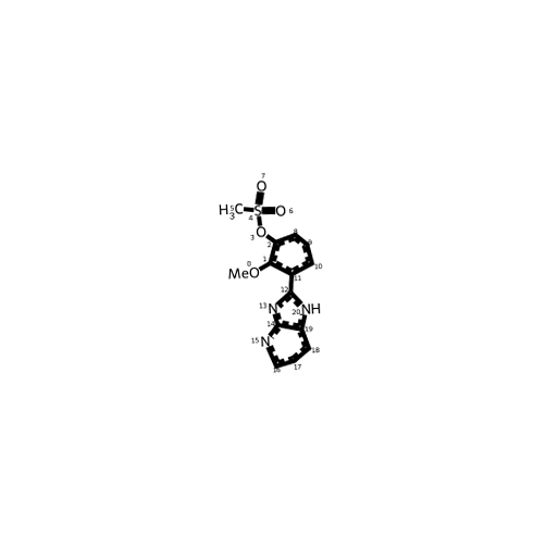 COc1c(OS(C)(=O)=O)cccc1-c1nc2ncccc2[nH]1